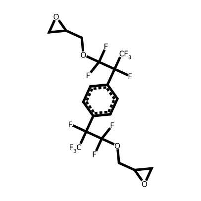 FC(F)(F)C(F)(c1ccc(C(F)(C(F)(F)F)C(F)(F)OCC2CO2)cc1)C(F)(F)OCC1CO1